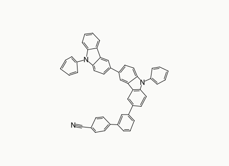 N#Cc1ccc(-c2cccc(-c3ccc4c(c3)c3cc(-c5ccc6c(c5)c5ccccc5n6-c5ccccc5)ccc3n4-c3ccccc3)c2)cc1